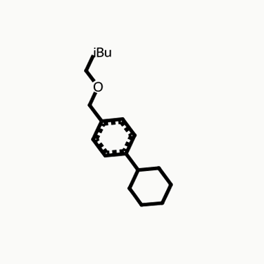 CCC(C)COCc1ccc(C2CCCCC2)cc1